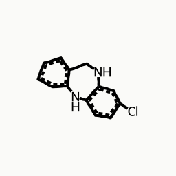 Clc1ccc2c(c1)NCc1ccccc1N2